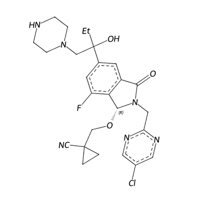 CCC(O)(CN1CCNCC1)c1cc(F)c2c(c1)C(=O)N(Cc1ncc(Cl)cn1)[C@@H]2OCC1(C#N)CC1